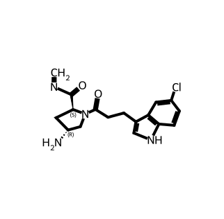 C=NC(=O)[C@@H]1C[C@@H](N)CN1C(=O)CCc1c[nH]c2ccc(Cl)cc12